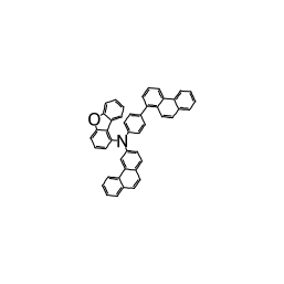 c1ccc2c(c1)ccc1ccc(N(c3ccc(-c4cccc5c4ccc4ccccc45)cc3)c3cccc4oc5ccccc5c34)cc12